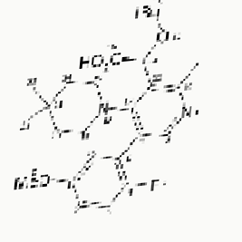 COc1ccc(F)c(-c2cnc(C)c([C@H](OC(C)(C)C)C(=O)O)c2N2CCC(C)(C)CC2)c1